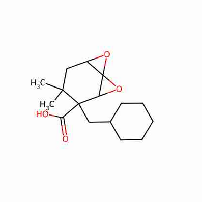 CC1(C)CC2OC23OC3C1(CC1CCCCC1)C(=O)O